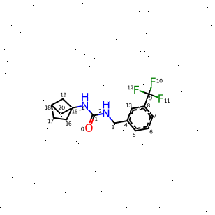 O=C(NCc1cccc(C(F)(F)F)c1)NC12CCC(C1)C2